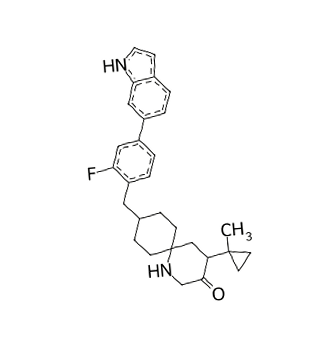 CC1(C2CC3(CCC(Cc4ccc(-c5ccc6cc[nH]c6c5)cc4F)CC3)NCC2=O)CC1